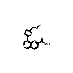 CNC(=O)c1ccc2cncc(-c3ccc(COCl)s3)c2n1